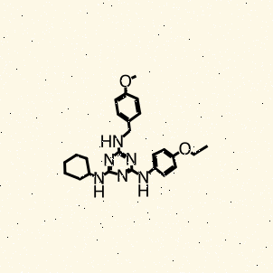 CCOc1ccc(Nc2nc(NCc3ccc(OC)cc3)nc(NC3CCCCC3)n2)cc1